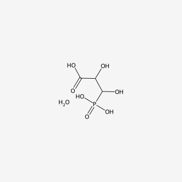 O.O=C(O)C(O)C(O)P(=O)(O)O